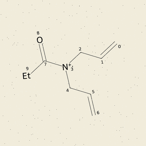 C=CC[N+](CC=C)C(=O)CC